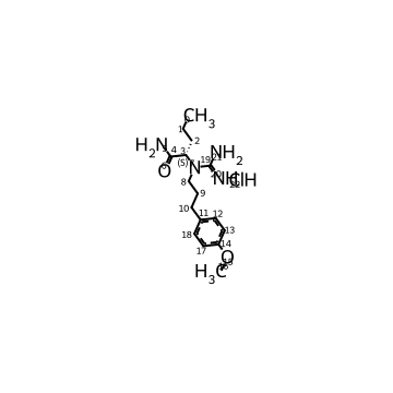 CCC[C@@H](C(N)=O)N(CCCc1ccc(OC)cc1)C(=N)N.Cl